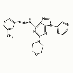 Cc1cccc(/C=N/Nc2nc(N3CCOCC3)nc3c2ncn3-c2cccnc2)c1